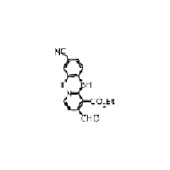 CCOC(=O)c1c(C=O)ccnc1Bc1ccc(C#N)cc1F